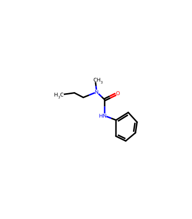 CCCN(C)C(=O)Nc1ccccc1